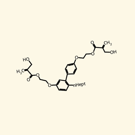 C=C(CO)C(=O)OCCOc1ccc(-c2cc(OCCOC(=O)C(=C)CO)ccc2CCCCCCC)cc1